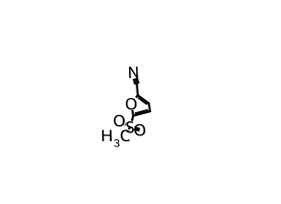 CS(=O)(=O)c1ccc(C#N)o1